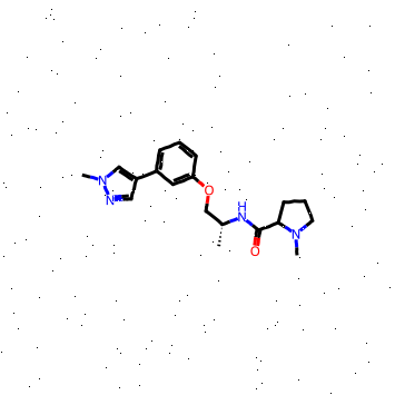 C[C@H](COc1c[c]cc(-c2cnn(C)c2)c1)NC(=O)C1CCCN1C